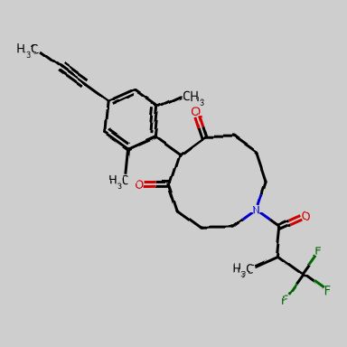 CC#Cc1cc(C)c(C2C(=O)CCCN(C(=O)C(C)C(F)(F)F)CCCC2=O)c(C)c1